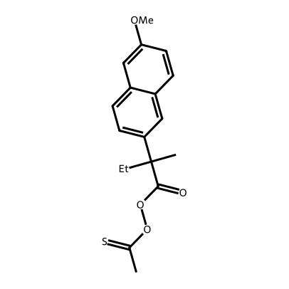 CCC(C)(C(=O)OOC(C)=S)c1ccc2cc(OC)ccc2c1